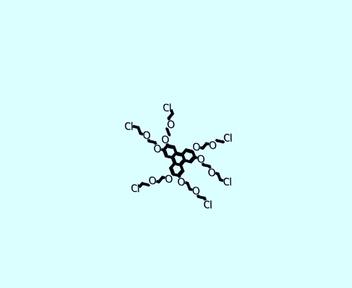 ClCCOCCOc1cc2c3cc(OCCOCCCl)c(OCCOCCCl)cc3c3cc(OCCOCCCl)c(OCCOCCCl)cc3c2cc1OCCOCCCl